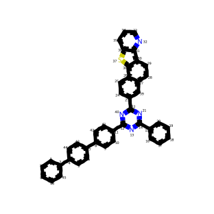 c1ccc(-c2ccc(-c3ccc(-c4nc(-c5ccccc5)nc(-c5ccc6c(ccc7c8ncccc8sc67)c5)n4)cc3)cc2)cc1